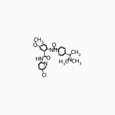 C=C(c1ccc(C(=O)Nc2ccc(OC)cc2C(=O)Nc2ccc(Cl)cn2)cc1)N(C)C